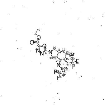 CCOC(=O)c1nnc(N2Cc3cc(Br)c4c(C(F)(F)F)cc(C(F)(F)F)nc4c3C2)o1